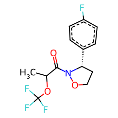 CC(OC(F)(F)F)C(=O)N1OCC[C@H]1c1ccc(F)cc1